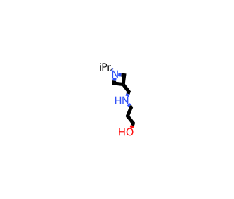 CC(C)N1CC(CNCCCO)C1